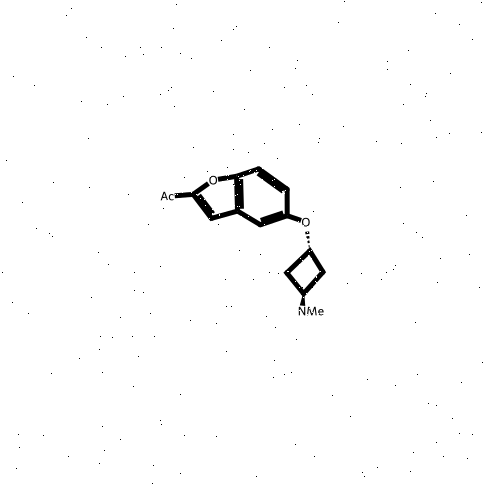 CN[C@H]1C[C@H](Oc2ccc3oc(C(C)=O)cc3c2)C1